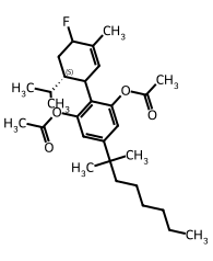 CCCCCCC(C)(C)c1cc(OC(C)=O)c(C2C=C(C)C(F)C[C@H]2C(C)C)c(OC(C)=O)c1